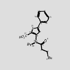 CCC(C)CCC(=O)N(c1cc(-c2ccccc2)sc1C(=O)O)C(C)C